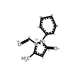 Cc1cc(=O)n(-c2ccccc2)n1C=O